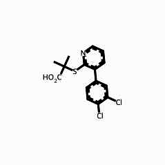 CC(C)(Sc1ncccc1-c1ccc(Cl)c(Cl)c1)C(=O)O